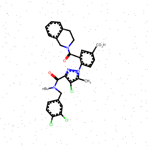 CCCCN(Cc1ccc(Cl)c(Cl)c1)C(=O)c1nn(-c2ccc(C(=O)O)cc2C(=O)N2CCc3ccccc3C2)c(C)c1Cl